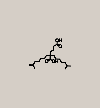 CC(C)CCCCCC(CCCCCC(C)C)(CCCC(=O)O)C(=O)O